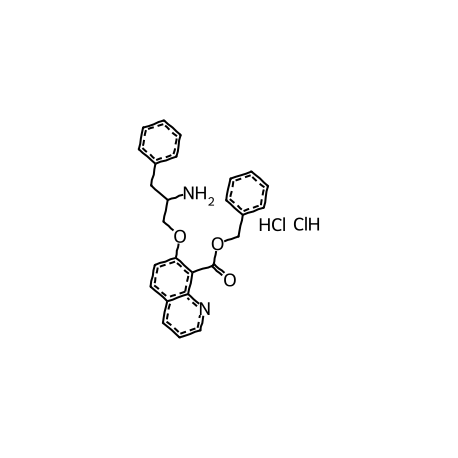 Cl.Cl.NC(COc1ccc2cccnc2c1C(=O)OCc1ccccc1)Cc1ccccc1